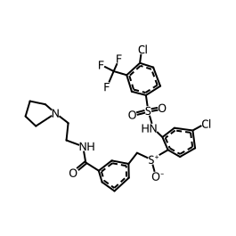 O=C(NCCN1CCCC1)c1cccc(C[S+]([O-])c2ccc(Cl)cc2NS(=O)(=O)c2ccc(Cl)c(C(F)(F)F)c2)c1